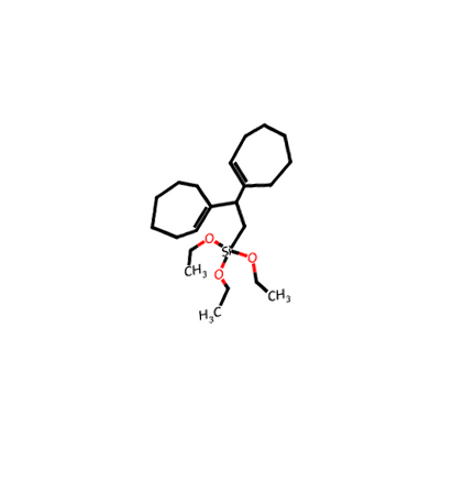 CCO[Si](CC(C1=CCCCCC1)C1=CCCCCC1)(OCC)OCC